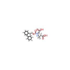 CC(C)(C)C(C[C@H](NC(=O)OCC1c2ccccc2-c2ccccc21)C(=O)O)C(=O)O